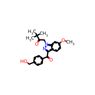 COc1ccc2c(C(=O)c3ccc(CO)cc3)nn(CC(=O)C(C)(C)C)c2c1